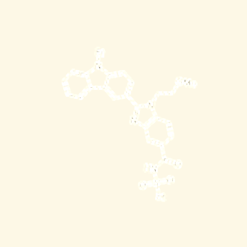 CCn1c2ccccc2c2cc(-c3nc4cc(C(=O)NS(=O)(=O)CC)ccc4n3CCOC)ccc21